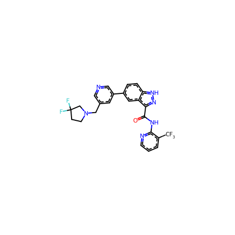 O=C(Nc1ncccc1C(F)(F)F)c1n[nH]c2ccc(-c3cncc(CN4CCC(F)(F)C4)c3)cc12